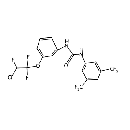 O=C(Nc1cccc(OC(F)(F)C(F)Cl)c1)Nc1cc(C(F)(F)F)cc(C(F)(F)F)c1